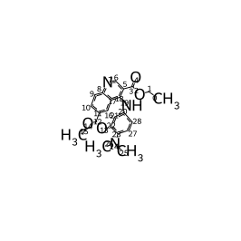 CCOC(=O)c1cnc2ccc(C(=O)OC)cc2c1Nc1ccc(N(C)C)cc1